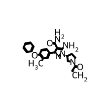 C=CC(=O)N1CC[C@@H](n2nc(-c3ccc(Oc4ccccc4)c(C)c3)c(C(N)=O)c2N)C1